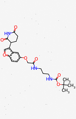 CC(C)(C)OC(=O)NCCCNC(=O)COc1ccc2occ(C3CCC(=O)NC3=O)c2c1